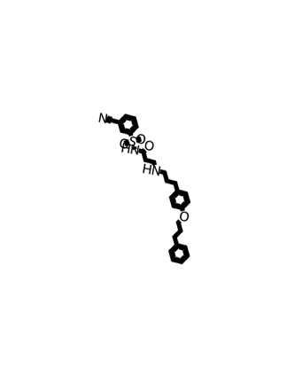 N#Cc1cccc(S(=O)(=O)NC(=O)CCNCCCc2ccc(OCCCc3ccccc3)cc2)c1